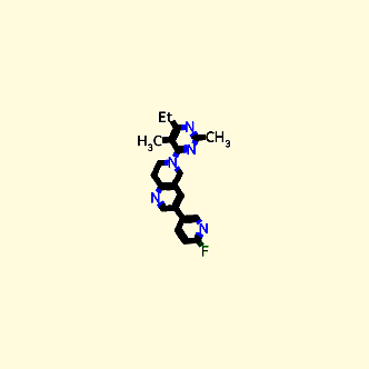 CCc1nc(C)nc(N2CCc3ncc(-c4ccc(F)nc4)cc3C2)c1C